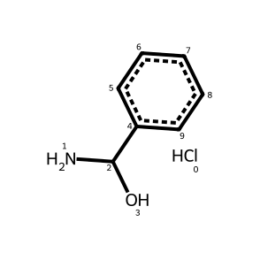 Cl.NC(O)c1ccccc1